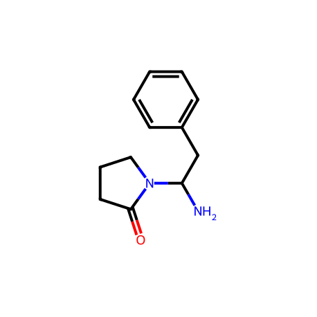 NC(Cc1ccccc1)N1CCCC1=O